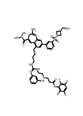 CCCN(CCC)C(=O)C1=Cc2c(CCCCN/C(=N/c3cccc(C#N)c3)NCCOCCC(=O)Oc3c(F)c(F)cc(F)c3F)cc(-c3cccc(S(=O)(=O)N4CC(CO)C4)c3)cc2N=C(N)C1